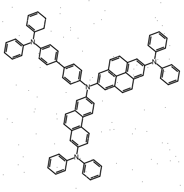 C1=CCCC(N(c2ccccc2)c2ccc(-c3ccc(N(c4ccc5c(ccc6cc(N(c7ccccc7)c7ccccc7)ccc65)c4)c4cc5ccc6cc(N(c7ccccc7)c7ccccc7)cc7ccc(c4)c5c67)cc3)cc2)=C1